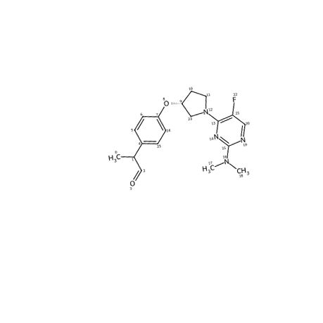 CC(C=O)c1ccc(O[C@@H]2CCN(c3nc(N(C)C)ncc3F)C2)cc1